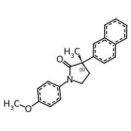 COc1ccc(N2CC[C@@](C)(c3ccc4ccccc4c3)C2=O)cc1